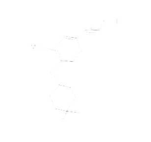 COc1cc(/C=C/C(=O)O)ccc1OC1CCC(F)(F)CC1